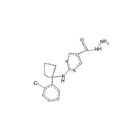 NNC(=O)c1cnc(NC2(c3ccccc3Cl)CCC2)nc1